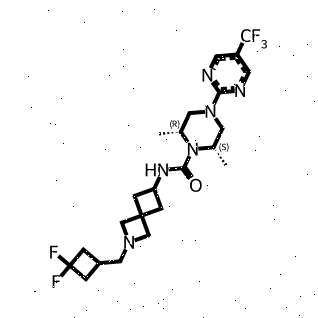 C[C@@H]1CN(c2ncc(C(F)(F)F)cn2)C[C@H](C)N1C(=O)NC1CC2(C1)CN(CC1CC(F)(F)C1)C2